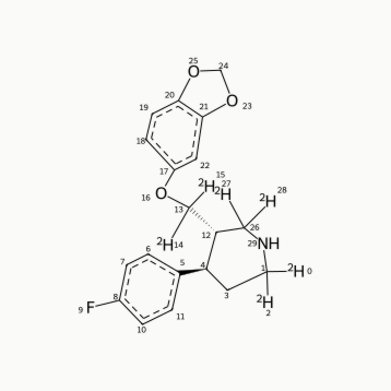 [2H]C1([2H])C[C@@H](c2ccc(F)cc2)[C@H](C([2H])([2H])Oc2ccc3c(c2)OCO3)C([2H])([2H])N1